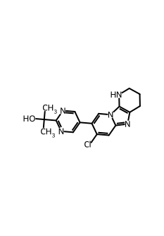 CC(C)(O)c1ncc(-c2cn3c4c(nc3cc2Cl)CCCN4)cn1